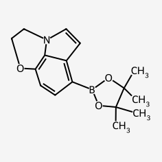 CC1(C)OB(c2ccc3c4c2ccn4CCO3)OC1(C)C